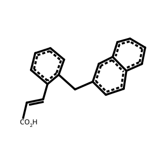 O=C(O)C=Cc1ccccc1Cc1ccc2ccccc2c1